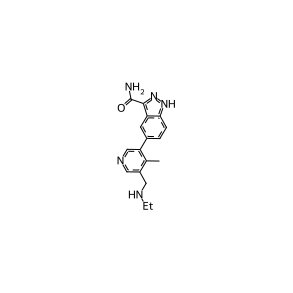 CCNCc1cncc(-c2ccc3[nH]nc(C(N)=O)c3c2)c1C